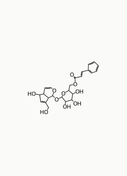 O=C(/C=C/c1ccccc1)OCC1OC(OC2OC=CC3C(O)C=C(CO)C23)C(O)C(O)C1O